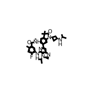 CNC(=O)c1cc(Nc2nc(-c3ccc4c(c3)N([C@H]3C[C@@H](NC(C)C)C3)C(=O)C4(C)C)cc3ncn(C(C)C)c23)c(F)cc1C